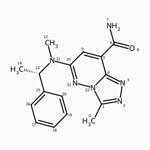 Cc1nnc2c(C(N)=O)cc(N(C)[C@@H](C)c3ccccc3)nn12